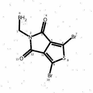 BCN1C(=O)c2c(Br)sc(Br)c2C1=O